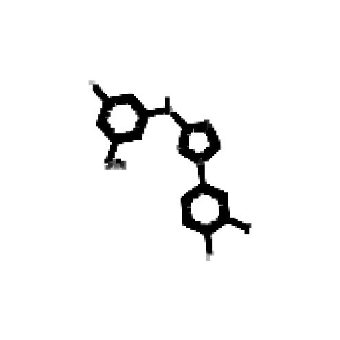 COc1cc(F)cc(Nc2ncn(-c3ccc(F)c(F)c3)n2)c1